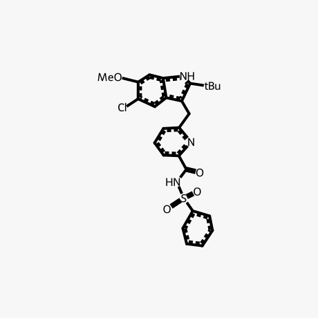 COc1cc2[nH]c(C(C)(C)C)c(Cc3cccc(C(=O)NS(=O)(=O)c4ccccc4)n3)c2cc1Cl